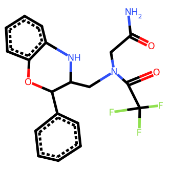 NC(=O)CN(CC1Nc2ccccc2OC1c1ccccc1)C(=O)C(F)(F)F